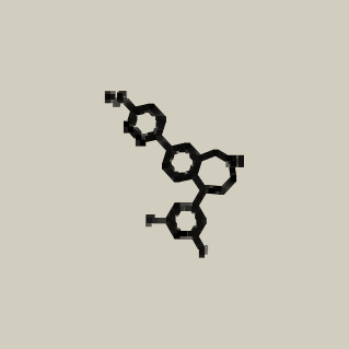 Cc1ccc(-c2ccc3c(c2)CNCC=C3c2cc(F)cc(F)c2)nn1